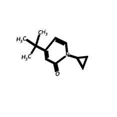 CC(C)(C)c1ccn(C2CC2)c(=O)c1